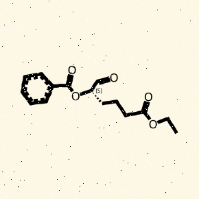 CCOC(=O)CCC[C@@H](C=O)OC(=O)c1ccccc1